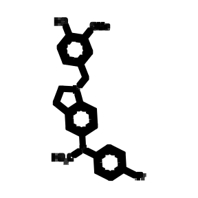 COc1cc(CN2CCc3cc(N(C(=O)O)c4ccc(C(C)C)cc4)ccc32)ccc1O